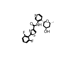 C[C@@H]1C[C@@H](O)C[C@H](c2ccncc2NC(=O)c2csc(-c3c(F)cccc3F)n2)O1